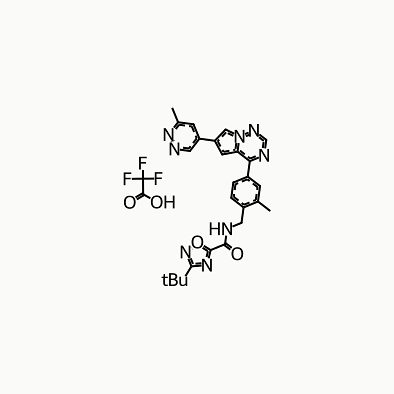 Cc1cc(-c2cc3c(-c4ccc(CNC(=O)c5nc(C(C)(C)C)no5)c(C)c4)ncnn3c2)cnn1.O=C(O)C(F)(F)F